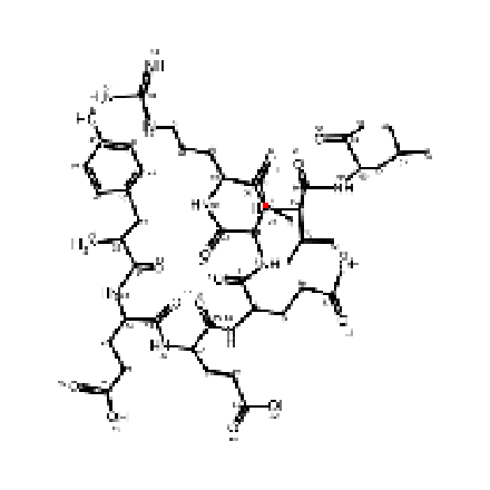 CCC(C)C(NC(=O)C(CCC(=O)O)NC(=O)C(CCC(=O)O)NC(=O)C(CCC(=O)O)NC(=O)C(N)Cc1ccc(O)cc1)C(=O)NC(CCCNC(=N)N)C(=O)NC(C(=O)NC(CC(C)C)C(C)=O)C(C)C